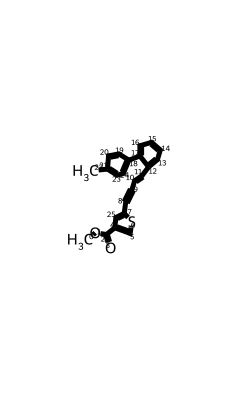 COC(=O)c1csc(C#C/C=C/c2ccccc2-c2ccc(C)cc2)c1